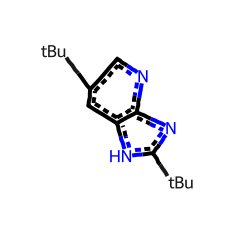 CC(C)(C)c1cnc2nc(C(C)(C)C)[nH]c2c1